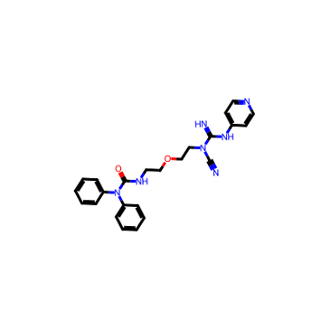 N#CN(CCOCCNC(=O)N(c1ccccc1)c1ccccc1)C(=N)Nc1ccncc1